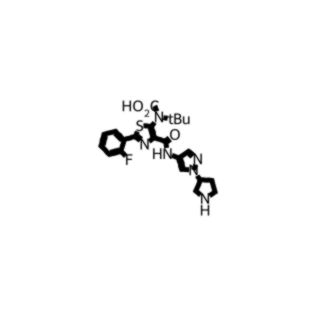 CC(C)(C)N(C(=O)O)c1sc(-c2ccccc2F)nc1C(=O)Nc1cnn(C2CCNC2)c1